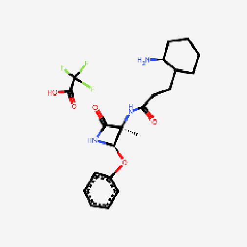 C[C@@]1(NC(=O)CCC2CCCC[C@@H]2N)C(=O)N[C@@H]1Oc1ccccc1.O=C(O)C(F)(F)F